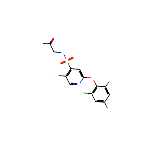 COC(=O)CNS(=O)(=O)c1cc(Oc2c(Cl)cc(Br)cc2Cl)ncc1OC